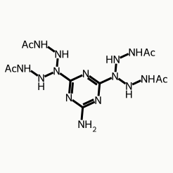 CC(=O)NNN(NNC(C)=O)c1nc(N)nc(N(NNC(C)=O)NNC(C)=O)n1